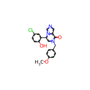 COc1ccc(Cn2cc(-c3cc(Cl)ccc3O)n3cncc3c2=O)cc1